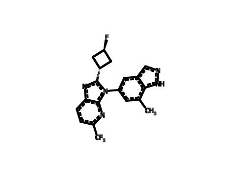 Cc1cc(-n2c3nc(C(F)(F)F)ccc3nc2[C@H]2C[C@H](F)C2)cc2cn[nH]c12